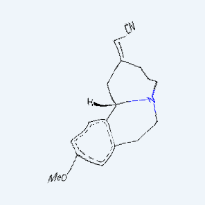 COc1ccc2c(c1)CCN1CC/C(=C\C#N)C[C@@H]21